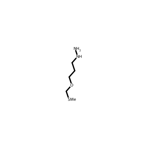 CSCOCCCNN